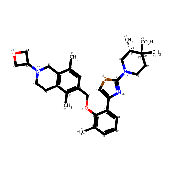 Cc1cc(COc2c(C)cccc2-c2csc(N3CC[C@](C)(C(=O)O)[C@@H](C)C3)n2)c(C)c2c1CN(C1COC1)CC2